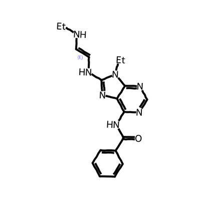 CCN/C=C/Nc1nc2c(NC(=O)c3ccccc3)ncnc2n1CC